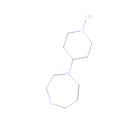 CN1CCC(N2CCC[N]CC2)CC1